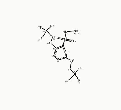 NNS(=O)(=O)c1cc(OCC(F)(F)F)ccc1OCC(F)(F)F